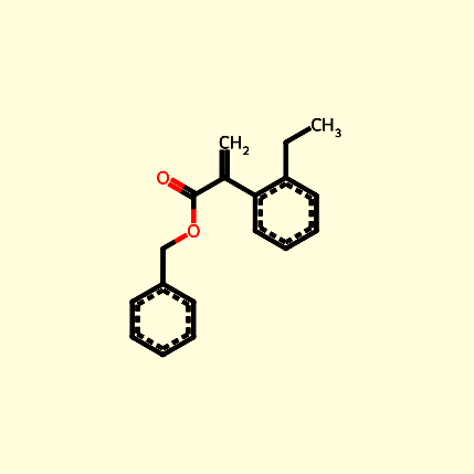 C=C(C(=O)OCc1ccccc1)c1ccccc1CC